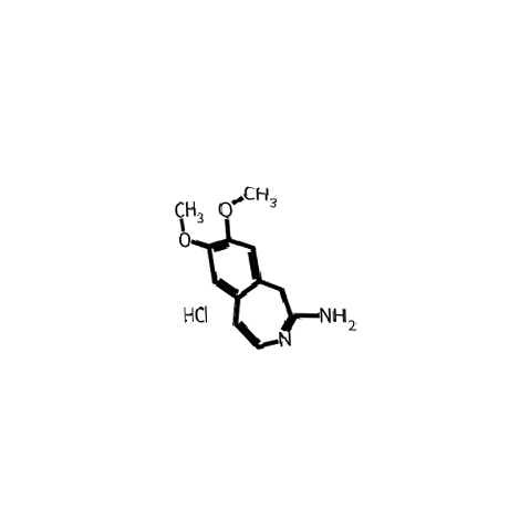 COc1cc2c(cc1OC)CC(N)=NC=C2.Cl